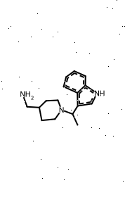 CC(c1c[nH]c2ccccc12)N1CCC(CN)CC1